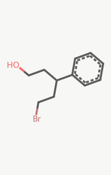 OCCC(CCBr)c1ccccc1